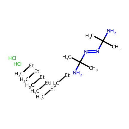 CC(C)(N)N=NC(C)(C)N.CCC.CCC.CCC.CCC.CCC.CCC.Cl.Cl